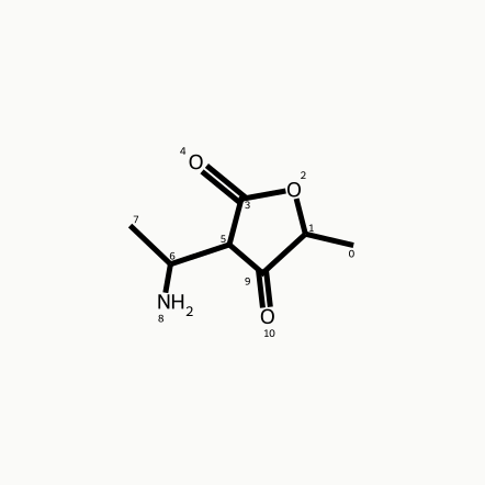 CC1OC(=O)C(C(C)N)C1=O